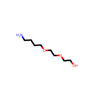 NCCCCOCCOCCO